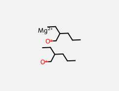 CCCC(CC)C[O-].CCCC(CC)C[O-].[Mg+2]